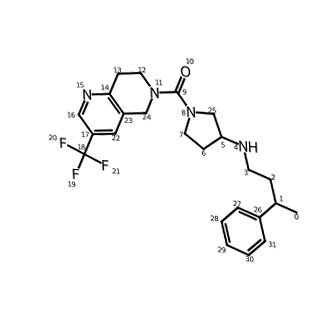 CC(CCNC1CCN(C(=O)N2CCc3ncc(C(F)(F)F)cc3C2)C1)c1ccccc1